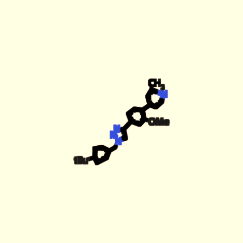 COc1cc(-c2cn(Cc3ccc(C(C)(C)C)cc3)nn2)ccc1-c1ccnc(C)c1